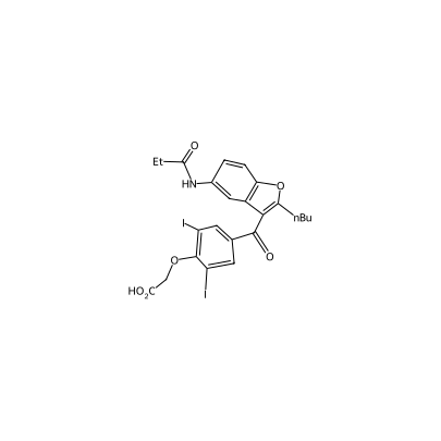 CCCCc1oc2ccc(NC(=O)CC)cc2c1C(=O)c1cc(I)c(OCC(=O)O)c(I)c1